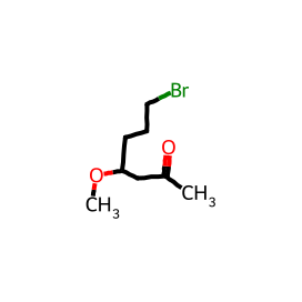 COC(CCCBr)CC(C)=O